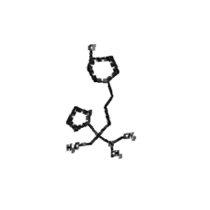 CCC(CCCc1ccc(Cl)cc1)(c1cccs1)N(C)C